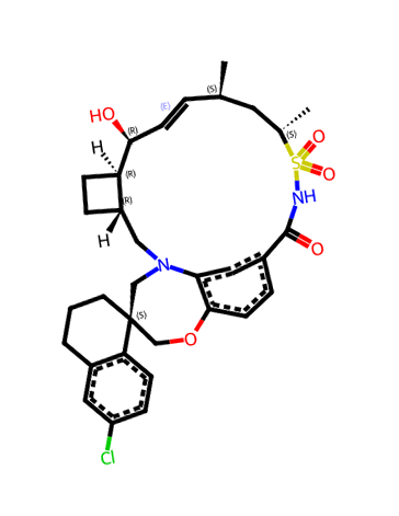 C[C@@H]1/C=C/[C@H](O)[C@@H]2CC[C@H]2CN2C[C@@]3(CCCc4cc(Cl)ccc43)COc3ccc(cc32)C(=O)NS(=O)(=O)[C@@H](C)C1